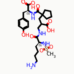 CS(=O)(=O)N[C@@H](CCCCN)C(=O)NCC(CC1(C(=O)N[C@@H](Cc2ccc(O)cc2)C(=O)O)CCCC1)C(=O)O